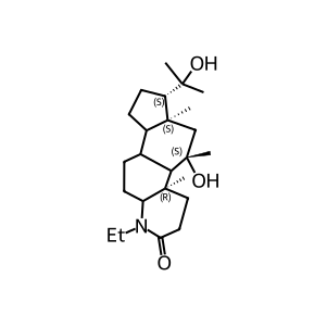 CCN1C(=O)CC[C@@]2(C)C1CCC1C2[C@@](C)(O)C[C@@]2(C)C1CC[C@@H]2C(C)(C)O